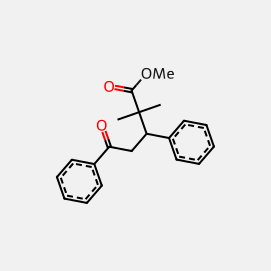 COC(=O)C(C)(C)C(CC(=O)c1ccccc1)c1ccccc1